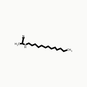 CCCCCCCCCCCCCNC(C)C#N